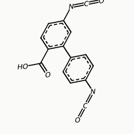 O=C=Nc1ccc(-c2cc(N=C=O)ccc2C(=O)O)cc1